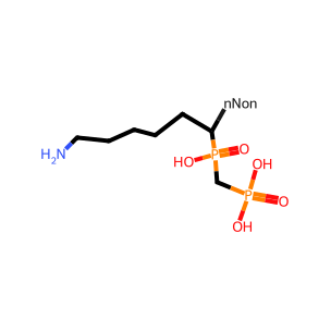 CCCCCCCCCC(CCCCCN)P(=O)(O)CP(=O)(O)O